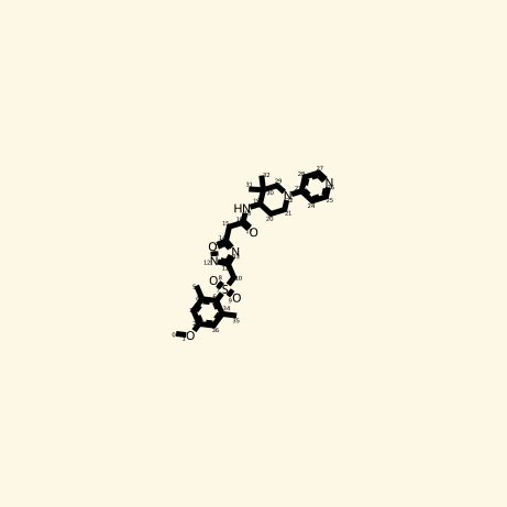 COc1cc(C)c(S(=O)(=O)Cc2noc(CC(=O)NC3CCN(c4ccncc4)CC3(C)C)n2)c(C)c1